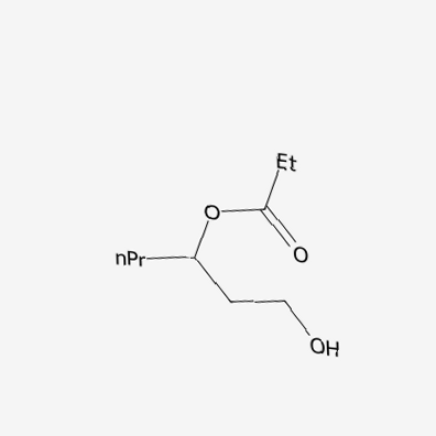 CCCC(CCO)OC(=O)CC